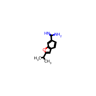 CC(C)c1cc2ccc(C(=N)N)cc2o1